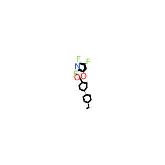 CC[C@H]1CC[C@H](C2CCC(C(=O)Oc3cc(F)c(F)nc3F)CC2)CC1